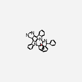 c1ccc(-c2nc(-n3c4ccccc4c4c5ncncc5c5c6ccccc6n(-c6ccccc6)c5c43)nc3ccccc23)cc1